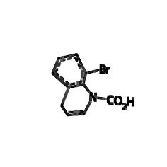 O=C(O)N1C=CCc2cccc(Br)c21